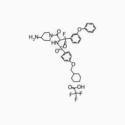 NC1CCN(C(=O)[C@H](NS(=O)(=O)c2ccc(OCC3CCCCC3)cc2)C(F)(F)c2cccc(Oc3ccccc3)c2)CC1.O=C(O)C(F)(F)F